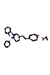 C=CC(=O)Oc1ccc(C=Cc2ccc3c(c2)c2ccccc2n3-c2ccccc2)cc1